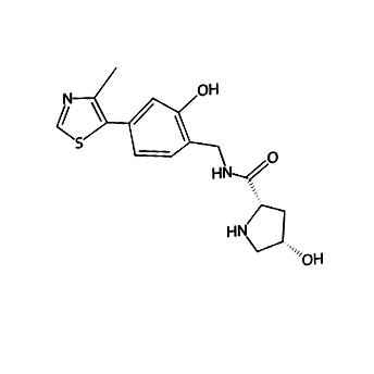 Cc1ncsc1-c1ccc(CNC(=O)[C@@H]2C[C@H](O)CN2)c(O)c1